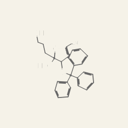 CCCCC(C)(C)C(C=CBr)OC(c1ccccc1)(c1ccccc1)c1ccccc1